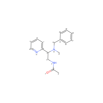 CC(=O)NCC(c1ccccn1)N(C)Cc1ccccc1